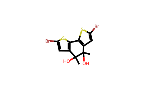 CC1(O)c2cc(Br)sc2-c2sc(Br)cc2C1(C)O